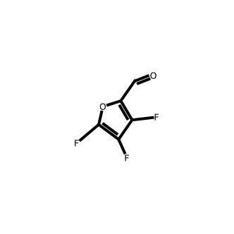 O=[C]c1oc(F)c(F)c1F